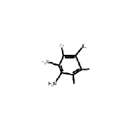 CCc1c(C)c(C)c(N)c(N)c1CC